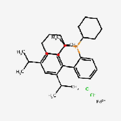 CC(C)c1cc(C(C)C)c(-c2ccccc2P(C2CCCCC2)C2CCCCC2)c(C(C)C)c1.[Cl-].[Cl-].[Pd+2]